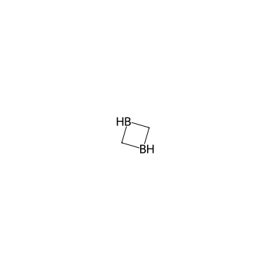 B1CBC1